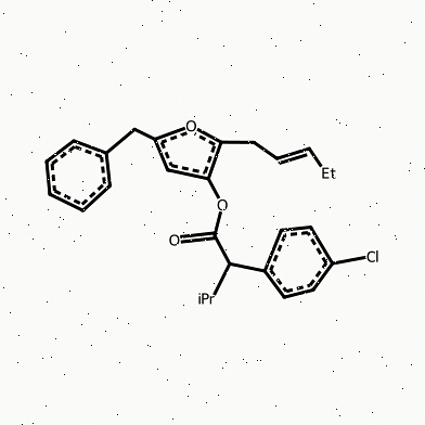 CCC=CCc1oc(Cc2ccccc2)cc1OC(=O)C(c1ccc(Cl)cc1)C(C)C